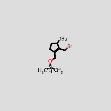 C[SiH](C)OCC1=C(CBr)C(C(C)(C)C)CC1